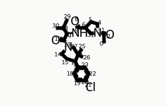 CC(=O)N1CCC(C(=O)N[C@@H](C(=O)N2CCC(c3ccc(Cl)cc3)C(C)(C)C2)C(C)C)C1